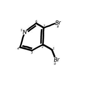 BrCc1ccncc1Br